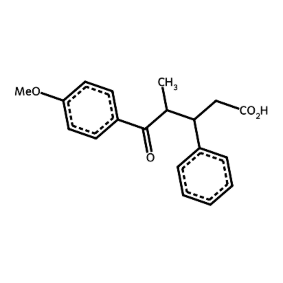 COc1ccc(C(=O)C(C)C(CC(=O)O)c2ccccc2)cc1